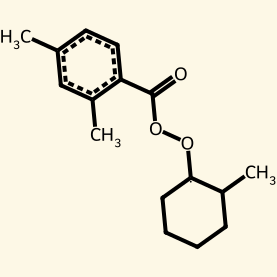 Cc1ccc(C(=O)OO[C]2CCCCC2C)c(C)c1